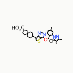 Cc1ccc(C(Oc2ncnc3c(C4=CCC5(CC4)CCC(C(=O)O)C5)csc23)C(F)(F)F)c(-n2ccc(C)n2)c1